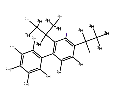 [2H]c1c([2H])c([2H])c(-c2c([2H])c([2H])c(C([2H])(C)C([2H])([2H])[2H])c(I)c2C([2H])(C([2H])([2H])[2H])C([2H])([2H])[2H])c([2H])c1[2H]